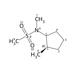 C[C@@H]1CCCC1N(C)S(C)(=O)=O